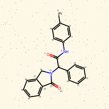 CC(C)c1ccc(NC(=O)C(c2ccccc2)N2Cc3ccccc3C2=O)cc1